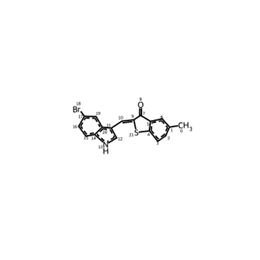 Cc1ccc2c(c1)C(=O)C(=Cc1c[nH]c3ccc(Br)cc13)S2